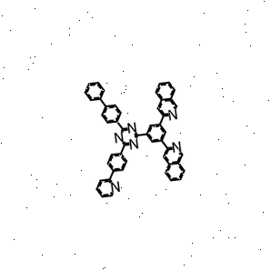 c1ccc(-c2ccc(-c3nc(-c4ccc(-c5ccccn5)cc4)nc(-c4cc(-c5cc6ccccc6cn5)cc(-c5cc6ccccc6cn5)c4)n3)cc2)cc1